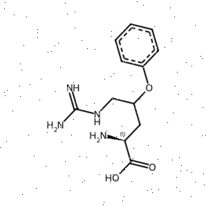 N=C(N)NCC(C[C@H](N)C(=O)O)Oc1ccccc1